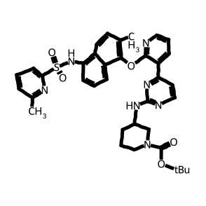 Cc1cccc(S(=O)(=O)Nc2cccc3c(Oc4ncccc4-c4ccnc(NC5CCCN(C(=O)OC(C)(C)C)C5)n4)c(C)ccc23)n1